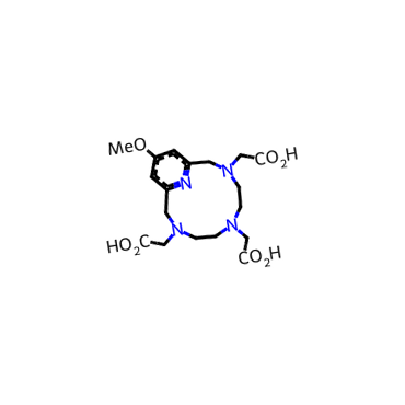 COc1cc2nc(c1)CN(CC(=O)O)CCN(CC(=O)O)CCN(CC(=O)O)C2